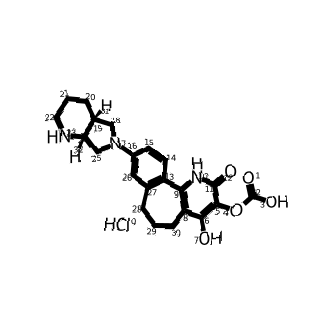 Cl.O=C(O)Oc1c(O)c2c([nH]c1=O)-c1ccc(N3C[C@H]4CCCN[C@H]4C3)cc1CCC2